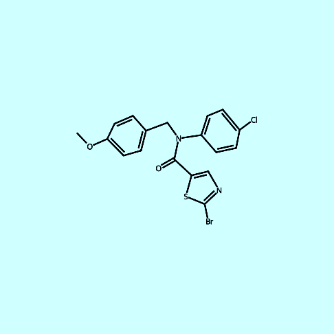 COc1ccc(CN(C(=O)c2cnc(Br)s2)c2ccc(Cl)cc2)cc1